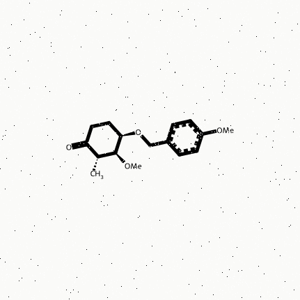 COc1ccc(CO[C@@H]2CCC(=O)[C@@H](C)[C@@H]2OC)cc1